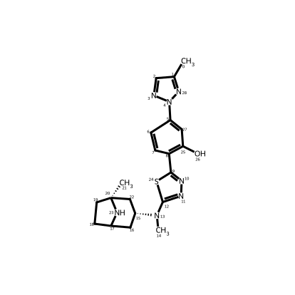 Cc1cnn(-c2ccc(-c3nnc(N(C)[C@@H]4CC5CC[C@@](C)(C4)N5)s3)c(O)c2)n1